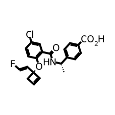 C[C@H](NC(=O)c1cc(Cl)ccc1O[C@]1(/C=C/F)C=CC1)c1ccc(C(=O)O)cc1